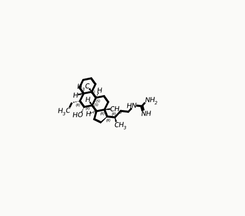 CC[C@H]1[C@@H](O)[C@@H]2[C@H](CC[C@]3(C)[C@@H]([C@H](C)CCNC(=N)N)CC[C@@H]23)[C@@]2(C)CCCC[C@@H]12